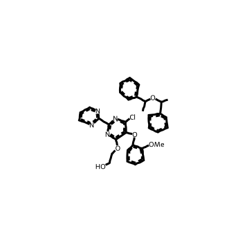 CC(OC(C)c1ccccc1)c1ccccc1.COc1ccccc1Oc1c(Cl)nc(-c2ncccn2)nc1OCCO